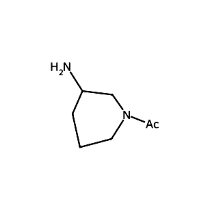 CC(=O)N1CCCC(N)C1